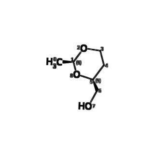 C[C@H]1OCC[C@@H](CO)O1